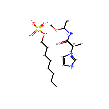 CCCCCCCCOS(=O)(=O)[O-].COC(C)NC(=O)[C@@H](C)[n+]1cc[nH]c1